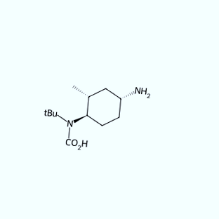 C[C@@H]1C[C@H](N)CC[C@H]1N(C(=O)O)C(C)(C)C